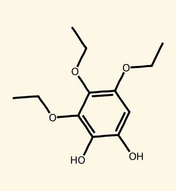 CCOc1cc(O)c(O)c(OCC)c1OCC